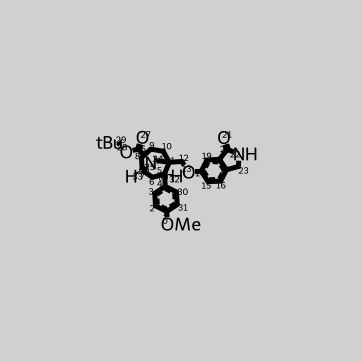 COc1ccc([C@H]2C[C@H]3CCCC2(COc2ccc4c(c2)C(=O)NC4)CN3C(=O)OC(C)(C)C)cc1